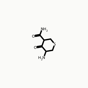 NC(=O)C1CSCC(N)C1=O